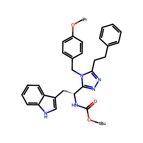 CC(C)Oc1ccc(Cn2c(CCc3ccccc3)nnc2[C@@H](Cc2c[nH]c3ccccc23)NC(=O)OC(C)(C)C)cc1